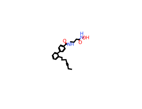 CCC#CCCCc1ccccc1-c1ccc(C(=O)NCCCC(=O)NO)cc1